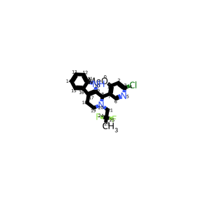 COc1cc(Cl)ncc1C1c2[nH]c3ccccc3c2CCN1CC(C)(F)F